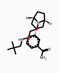 CC(C)(C)CNCCCN1[C@@H]2CC[C@H]1C[C@@H](c1cccc(C(N)=O)c1)C2